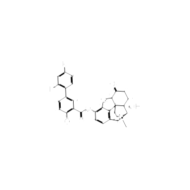 CN1CCC23c4c5ccc(OC(=O)c6cc(-c7ccc(F)cc7F)ccc6O)c4OC2C(=O)CC[C@@]3(O)C1C5